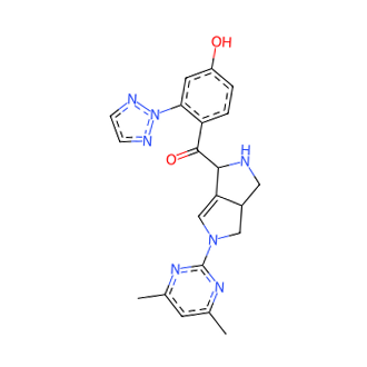 Cc1cc(C)nc(N2C=C3C(CNC3C(=O)c3ccc(O)cc3-n3nccn3)C2)n1